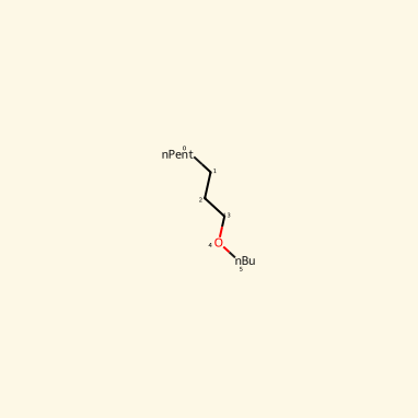 CCCCCCC[CH]OCCCC